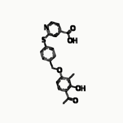 CC(=O)c1ccc(OCc2ccc(Sc3cc(C(=O)O)ccn3)cc2)c(C)c1O